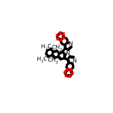 CC1(C)CCC(C)(C)c2cc3c(cc21)cc1c2c4c(ncc2n2c5cnc6c(c5c3c12)C1c2ccccc2C6c2ccccc21)C1c2ccccc2C4c2ccccc21